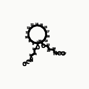 O=C=NCCCOC1CCCCCCCCCCCCC1OCCCN=C=O